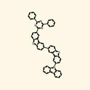 c1ccc(-c2nc(-c3ccccc3)nc(-c3ccc4sc5ccc(-c6ccc7sc8ccc(-n9c%10ccccc%10c%10ccccc%109)cc8c7c6)cc5c4c3)n2)cc1